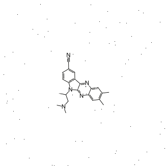 Cc1cc2nc3c4cc(C#N)ccc4n(C(C)CN(C)C)c3nc2cc1C